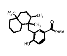 COC(=O)c1ccc(O)c(CC2(C)C(C)CCC3(C)CCCCC32)c1